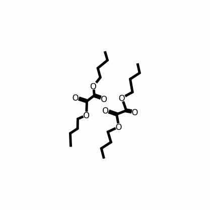 CCCCOC(=O)C(=O)OCCCC.CCCCOC(=O)C(=O)OCCCC